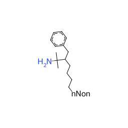 CCCCCCCCCCCCCC(Cc1ccccc1)C(C)(C)N